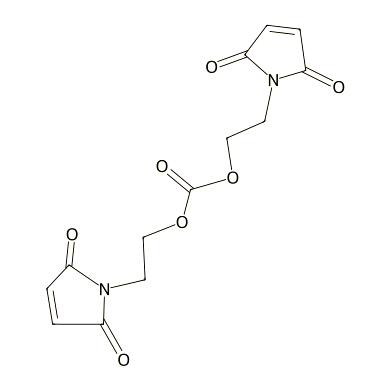 O=C(OCCN1C(=O)C=CC1=O)OCCN1C(=O)C=CC1=O